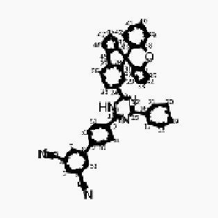 N#Cc1cc(C#N)cc(-c2ccc(C3=NC(c4ccccc4)=NC(c4ccc5c(c4)C4(c6ccccc6Oc6ccccc64)c4ccccc4-5)N3)cc2)c1